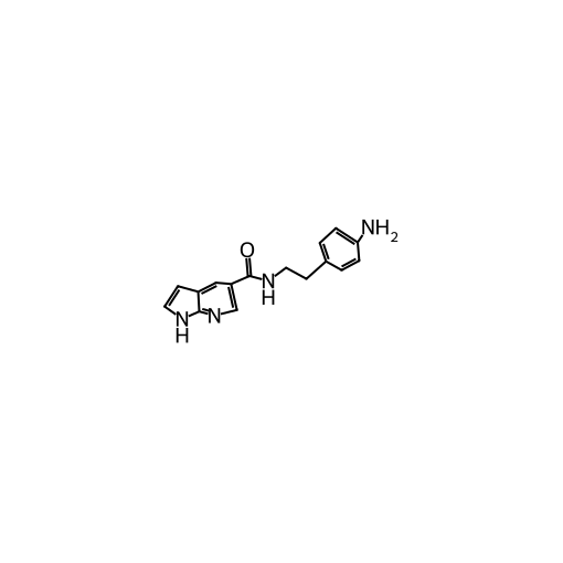 Nc1ccc(CCNC(=O)c2cnc3[nH]ccc3c2)cc1